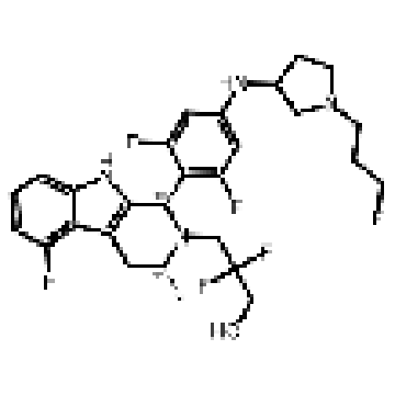 C[C@@H]1Cc2c([nH]c3cccc(F)c23)[C@@H](c2c(F)cc(NC3CCN(CCCF)C3)cc2F)N1CC(F)(F)CO